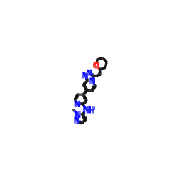 Cn1nccc1Nc1cc(-c2ccn3c(CC4CCCCO4)nnc3c2)ccn1